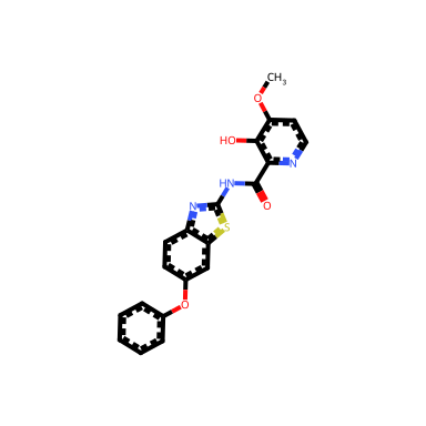 COc1ccnc(C(=O)Nc2nc3ccc(Oc4ccccc4)cc3s2)c1O